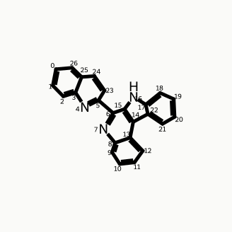 c1ccc2nc(-c3nc4ccccc4c4c3[nH]c3ccccc34)ccc2c1